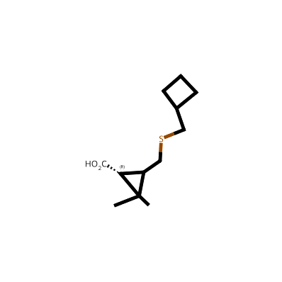 CC1(C)C(CSCC2CCC2)[C@H]1C(=O)O